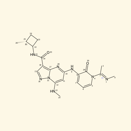 C/N=C(\C)n1cccc(Nc2cc(NC)n3ncc(C(=O)NC4CC[C@H]4C)c3n2)c1=O